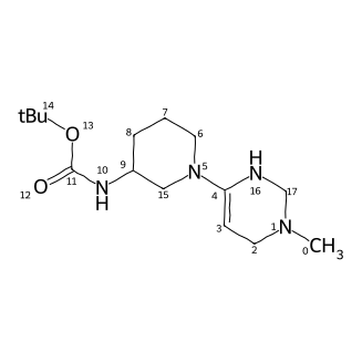 CN1CC=C(N2CCCC(NC(=O)OC(C)(C)C)C2)NC1